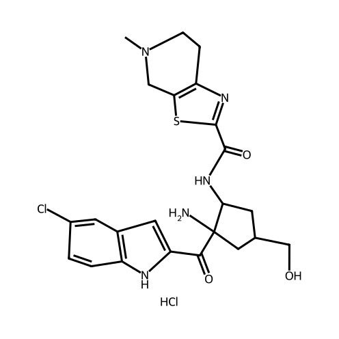 CN1CCc2nc(C(=O)NC3CC(CO)CC3(N)C(=O)c3cc4cc(Cl)ccc4[nH]3)sc2C1.Cl